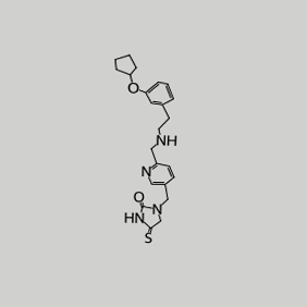 O=C1NC(=S)CN1Cc1ccc(CNCCc2cccc(OC3CCCC3)c2)nc1